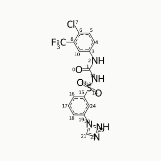 O=C(Nc1ccc(Cl)c(C(F)(F)F)c1)NS(=O)(=O)c1cccc(-n2cn[nH]2)c1